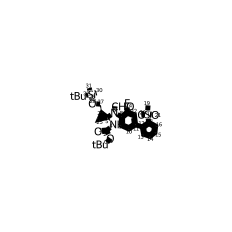 CC(C)(C)OC(=O)N[C@]1(N(C=O)c2ccc(-c3ccccc3S(C)(=O)=O)cc2F)C[C@@H]1CO[Si](C)(C)C(C)(C)C